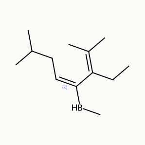 CB/C(=C/CC(C)C)C(CC)=C(C)C